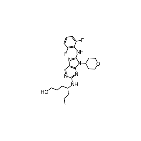 CCC[C@H](CCCO)Nc1ncc2nc(Nc3c(F)cccc3F)n(C3CCOCC3)c2n1